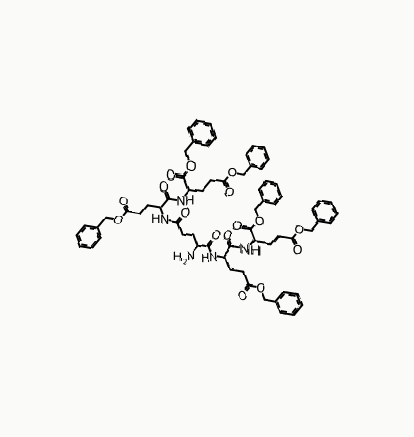 NC(CCC(=O)NC(CCC(=O)OCc1ccccc1)C(=O)NC(CCC(=O)OCc1ccccc1)C(=O)OCc1ccccc1)C(=O)NC(CCC(=O)OCc1ccccc1)C(=O)NC(CCC(=O)OCc1ccccc1)C(=O)OCc1ccccc1